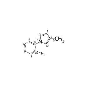 Cc1ccn(-c2ccccc2I)c1